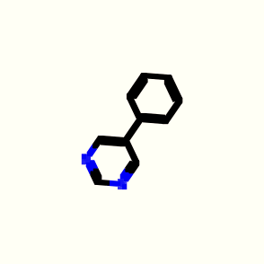 c1ccc(-c2cncnc2)cc1